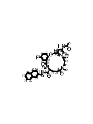 CC(=O)N[C@@H]1C[C@H]2COc3ccc(F)cc3C(=O)N(C)[C@H](C(=O)NCc3ccc4ccccc4c3)CCC(=O)N(C)CCC(=O)N2C1